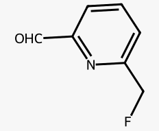 O=Cc1cccc(CF)n1